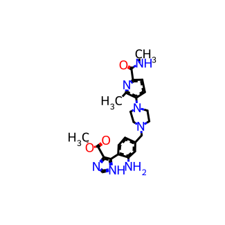 CNC(=O)c1ccc(N2CCN(Cc3ccc(-c4[nH]cnc4C(=O)OC)c(N)c3)CC2)c(C)n1